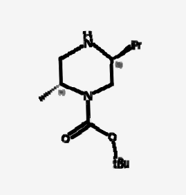 CC(C)[C@H]1CN(C(=O)OC(C)(C)C)[C@H](C)CN1